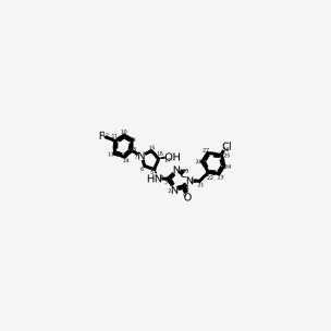 O=c1nc(N[C@@H]2CN(c3ccc(F)cc3)C[C@H]2O)ncn1Cc1ccc(Cl)cc1